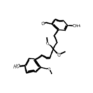 COc1ccc(O)cc1CCC(CCc1cc(O)ccc1Cl)(OC)OC